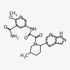 COc1ncc(NC(=O)C(=O)N2CC(C)CCC2c2cnc3[nH]ncc3c2)cc1C(N)=O